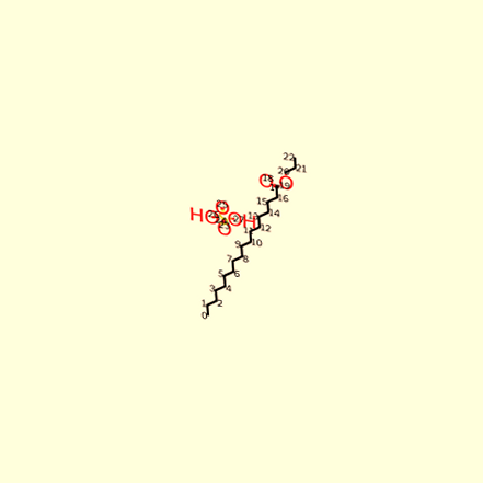 CCCCCCCCCCCCCCCCCC(=O)OCCC.O=S(=O)(O)O